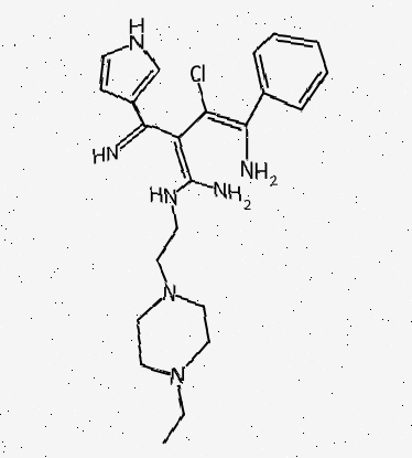 CCN1CCN(CCN/C(N)=C(C(=N)c2cc[nH]c2)/C(Cl)=C(\N)c2ccccc2)CC1